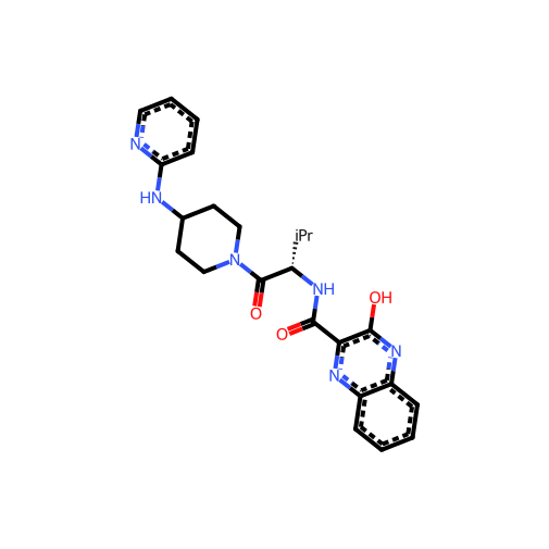 CC(C)[C@H](NC(=O)c1nc2ccccc2nc1O)C(=O)N1CCC(Nc2ccccn2)CC1